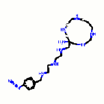 [N-]=[N+]=Nc1ccc(CNCCNCCNCC2(N)CNCCNCCCNCCNC2)cc1